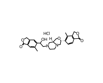 Cc1cc2c(cc1C(O)CN1CCN3C[C@@H](c4ccc5c(c4C)COC5=O)OC[C@@H]3C1)COC2=O.Cl